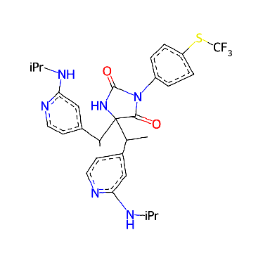 CC(C)Nc1cc(C(C)C2(C(C)c3ccnc(NC(C)C)c3)NC(=O)N(c3ccc(SC(F)(F)F)cc3)C2=O)ccn1